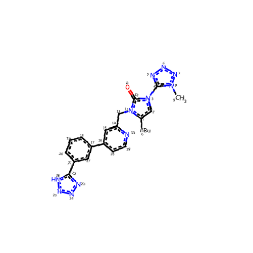 CCCCc1cn(-c2nnnn2C)c(=O)n1Cc1cc(-c2cccc(-c3nnn[nH]3)c2)ccn1